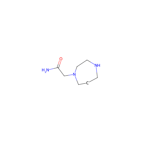 NC(=O)CN1CCCNCC1